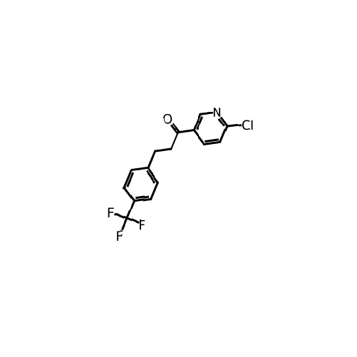 O=C(CCc1ccc(C(F)(F)F)cc1)c1ccc(Cl)nc1